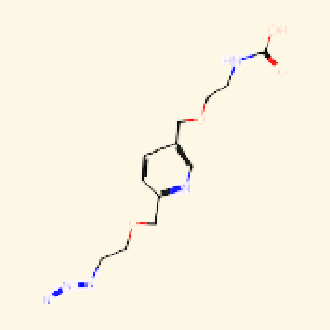 [N-]=[N+]=NCCOCc1ccc(COCCNC(=O)O)cn1